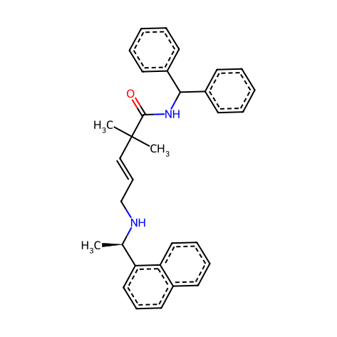 C[C@@H](NC/C=C/C(C)(C)C(=O)NC(c1ccccc1)c1ccccc1)c1cccc2ccccc12